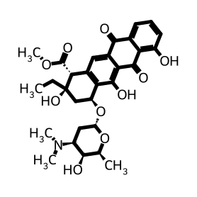 CC[C@@]1(O)C[C@H](O[C@H]2C[C@H](N(C)C)[C@H](O)[C@H](C)O2)c2c(cc3c(c2O)C(=O)c2c(O)cccc2C3=O)[C@H]1C(=O)OC